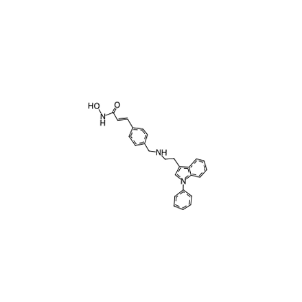 O=C(/C=C/c1ccc(CNCCc2cn(-c3ccccc3)c3ccccc23)cc1)NO